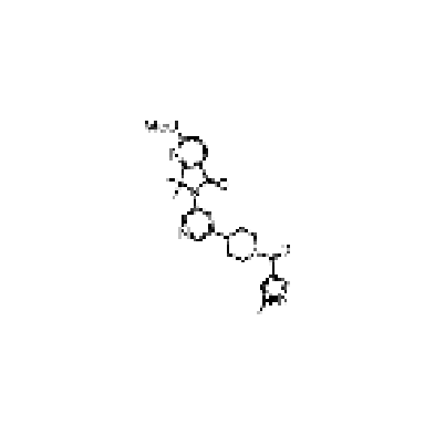 COc1ccc2c(n1)C(C)(C)N(c1cncc(C3CCN(C(=O)c4cnn(C)c4)CC3)c1)C2=O